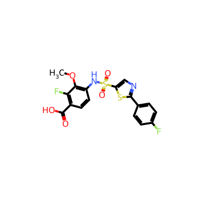 COc1c(NS(=O)(=O)c2cnc(-c3ccc(F)cc3)s2)ccc(C(=O)O)c1F